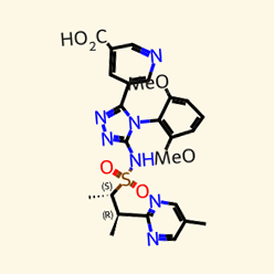 COc1cccc(OC)c1-n1c(NS(=O)(=O)[C@@H](C)[C@H](C)c2ncc(C)cn2)nnc1-c1cncc(C(=O)O)c1